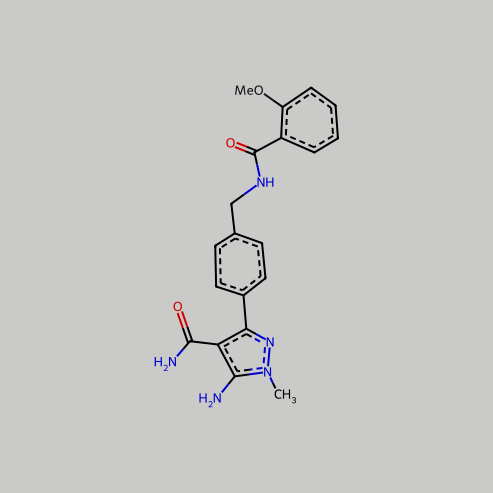 COc1ccccc1C(=O)NCc1ccc(-c2nn(C)c(N)c2C(N)=O)cc1